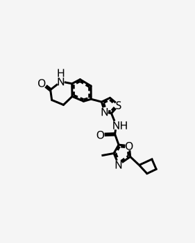 Cc1nc(C2CCC2)oc1C(=O)Nc1nc(-c2ccc3c(c2)CCC(=O)N3)cs1